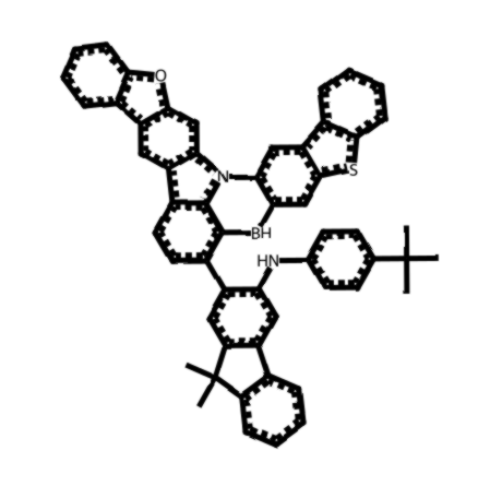 CC(C)(C)c1ccc(Nc2cc3c(cc2-c2ccc4c5cc6c(cc5n5c4c2Bc2cc4sc7ccccc7c4cc2-5)oc2ccccc26)C(C)(C)c2ccccc2-3)cc1